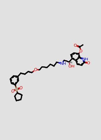 CC(=O)Oc1ccc([C@@H](O)CNCCCCCCOCCCCc2cccc(S(=O)(=O)C3CCCC3)c2)c2ccc(=O)[nH]c12